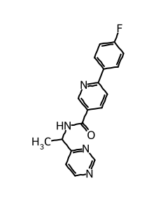 CC(NC(=O)c1ccc(-c2ccc(F)cc2)nc1)c1ccncn1